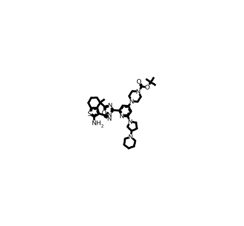 CC(C)(C)OC(=O)N1CCN(c2cc(-c3noc(C4(C)CCCc5sc(N)c(C#N)c54)n3)nc(N3CCC(N4CCCCC4)C3)c2)CC1